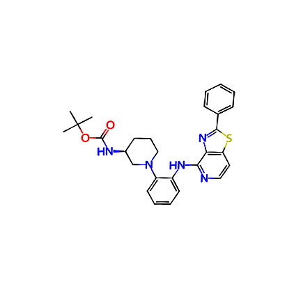 CC(C)(C)OC(=O)N[C@H]1CCCN(c2ccccc2Nc2nccc3sc(-c4ccccc4)nc23)C1